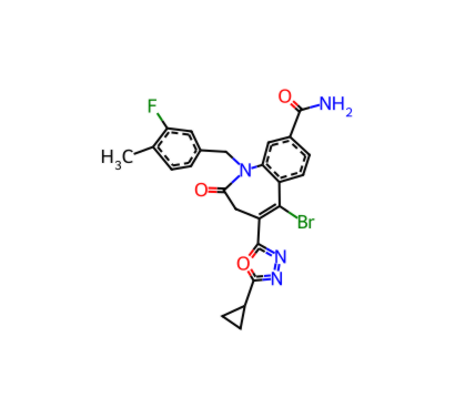 Cc1ccc(CN2C(=O)CC(c3nnc(C4CC4)o3)=C(Br)c3ccc(C(N)=O)cc32)cc1F